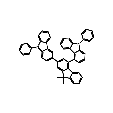 CC1(C)c2ccccc2-c2c(-c3cccc4c3c3ccccc3n4-c3ccccc3)cc(-c3ccc4c(c3)c3ccccc3n4-c3ccccc3)cc21